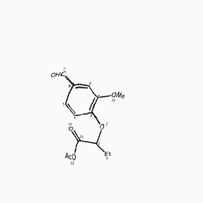 CCC(Oc1ccc(C=O)cc1OC)C(=O)OC(C)=O